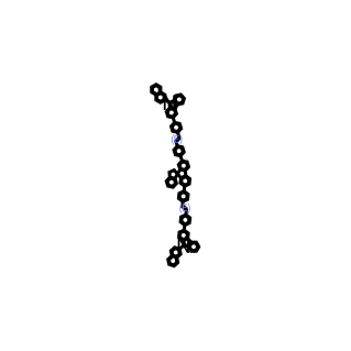 C(=C\c1ccc(-c2ccc3c(c2)c2ccccc2n3-c2ccc3ccccc3c2)cc1)/c1ccc(-c2ccc3c(c2)C2(CCc4ccccc42)c2cc(-c4ccc(/C=C/c5ccc(-c6ccc7c(c6)c6ccccc6n7-c6ccc7ccccc7c6)cc5)cc4)ccc2-3)cc1